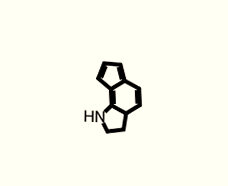 C1=CC2=C3NCCC3C=CC2=C1